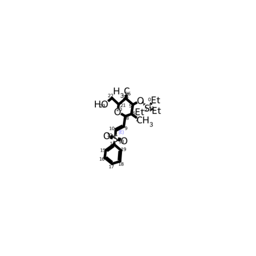 CC[Si](CC)(CC)OC1C(C)C(/C=C/S(=O)(=O)c2ccccc2)OC(CO)C1C